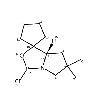 CC1(C)C[C@@H]2N(C1)P(Cl)OC21CCCC1